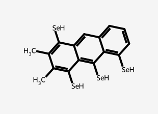 Cc1c(C)c([SeH])c2c([SeH])c3c([SeH])cccc3cc2c1[SeH]